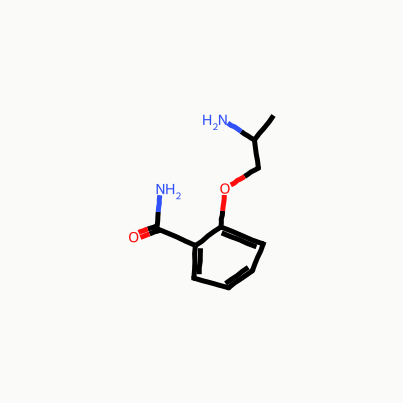 CC(N)COc1ccccc1C(N)=O